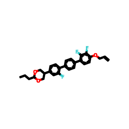 C=CCOc1ccc(-c2ccc(-c3ccc(C4COC(CCC)OC4)cc3F)cc2)c(F)c1F